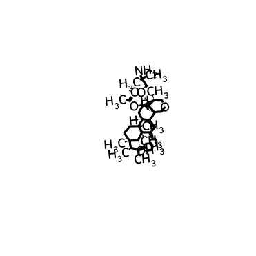 CC(=O)O[C@@H]1C[C@@]23COC[C@@](C)([C@@H]2CC[C@H]2C3=CC(=O)[C@@]3(C)[C@H](C(=O)O)[C@@](C)([C@H](C)C(C)C)CC[C@]23C)[C@H]1OCC(C)(C)N